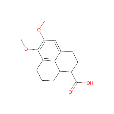 COc1cc2c3c(c1OC)CCCC3C(C(=O)O)CC2